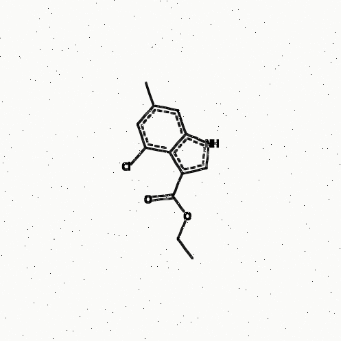 CCOC(=O)c1c[nH]c2cc(C)cc(Cl)c12